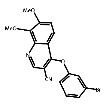 COc1ccc2c(Oc3cccc(Br)c3)c(C#N)cnc2c1OC